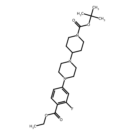 CCOC(=O)c1ccc(N2CCN(C3CCN(C(=O)OC(C)(C)C)CC3)CC2)cc1F